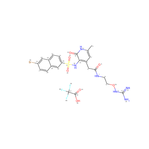 Cc1cc(CC(=O)NCCONC(=N)N)c(NS(=O)(=O)c2ccc3cc(Br)ccc3c2)c(=O)[nH]1.O=C(O)C(F)(F)F